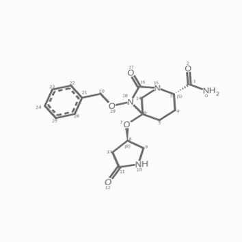 NC(=O)[C@@H]1CCC2(O[C@H]3CNC(=O)C3)CN1C(=O)N2OCc1ccccc1